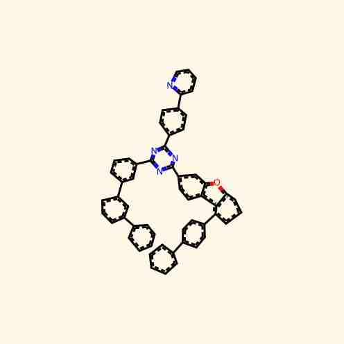 c1ccc(-c2ccc(-c3cccc4oc5cc(-c6nc(-c7ccc(-c8ccccn8)cc7)nc(-c7cccc(-c8cccc(-c9ccccc9)c8)c7)n6)ccc5c34)cc2)cc1